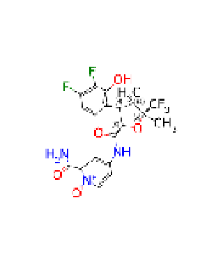 C[C@H]1[C@H](c2ccc(F)c(F)c2O)[C@H](C(=O)NC2=CC(C(N)=O)[N+](=O)C=C2)O[C@]1(C)C(F)(F)F